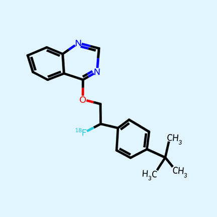 CC(C)(C)c1ccc(C([18F])COc2ncnc3ccccc23)cc1